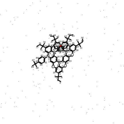 CCC(C)(C)c1cc2c3c(c1)Oc1cc4c(cc1B3c1cc3c(cc1O2)Oc1cc(C(C)(C)CC)cc2c1B3c1sc3ccc(C(C)(C)CC)cc3c1O2)B1c2sc3ccc(C(C)(C)CC)cc3c2Oc2cc(C(C)(C)CC)cc(c21)N4c1ccc(C(C)(C)C)cc1